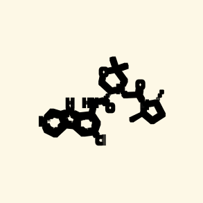 C[C@@H]1CC[C@@H](C)N1C(=O)CN1CC(C)(C)OC[C@H]1C(=O)Nc1cc(Cl)cc2c1[nH]c1cnccc12